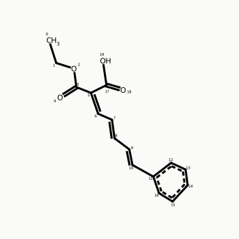 CCOC(=O)/C(=C/C=C/C=C/c1ccccc1)C(=O)O